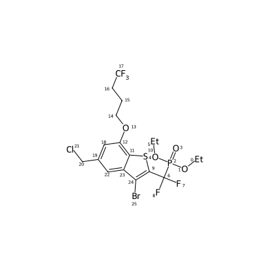 CCOP(=O)(OCC)C(F)(F)c1sc2c(OCCCC(F)(F)F)cc(CCl)cc2c1Br